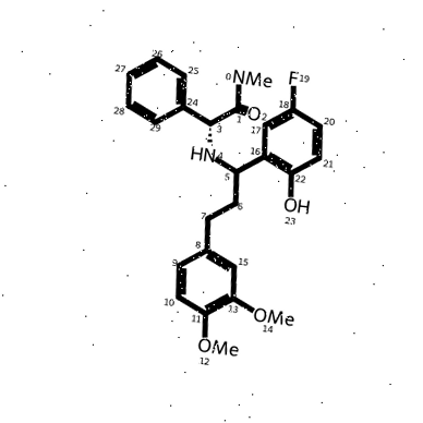 CNC(=O)[C@H](NC(CCc1ccc(OC)c(OC)c1)c1cc(F)ccc1O)c1ccccc1